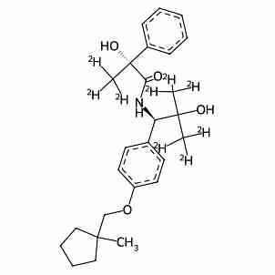 [2H]C([2H])([2H])C(O)([C@H](NC(=O)[C@](O)(c1ccccc1)C([2H])([2H])[2H])c1ccc(OCC2(C)CCCC2)cc1)C([2H])([2H])[2H]